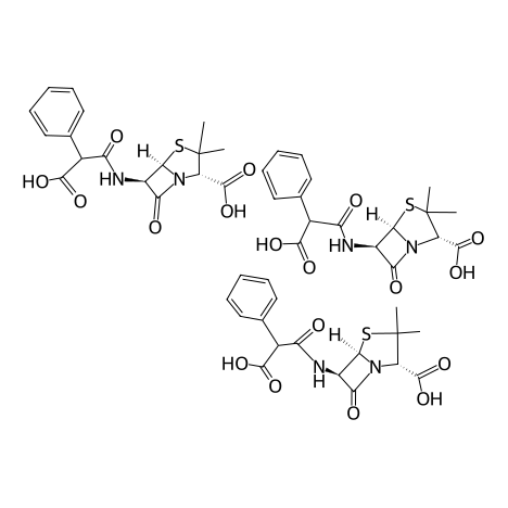 CC1(C)S[C@@H]2[C@H](NC(=O)C(C(=O)O)c3ccccc3)C(=O)N2[C@H]1C(=O)O.CC1(C)S[C@@H]2[C@H](NC(=O)C(C(=O)O)c3ccccc3)C(=O)N2[C@H]1C(=O)O.CC1(C)S[C@@H]2[C@H](NC(=O)C(C(=O)O)c3ccccc3)C(=O)N2[C@H]1C(=O)O